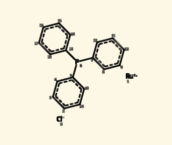 [Cl-].[Ru+].c1ccc(P(c2ccccc2)c2ccccc2)cc1